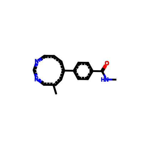 CNC(=O)c1ccc(-c2cccncncc(C)c2)cc1